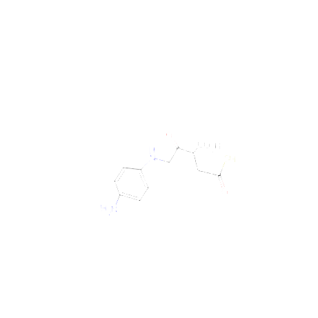 Nc1ccc(NCC(=O)C(CC(=O)S)C(=O)O)cc1